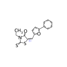 CCN1C(=O)/C(=C\c2ccc(-c3ccccc3)o2)SC1=S